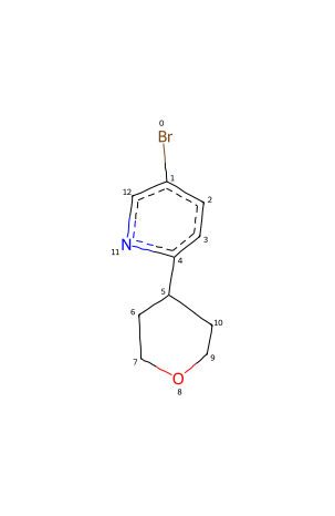 Brc1ccc(C2CCOCC2)nc1